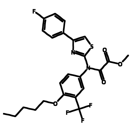 CCCCCOc1ccc(N(C(=O)C(=O)OC)c2nc(-c3ccc(F)cc3)cs2)cc1C(F)(F)F